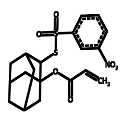 C=CC(=O)OC12CC3CC(CC(C3)C1SS(=O)(=O)c1cccc([N+](=O)[O-])c1)C2